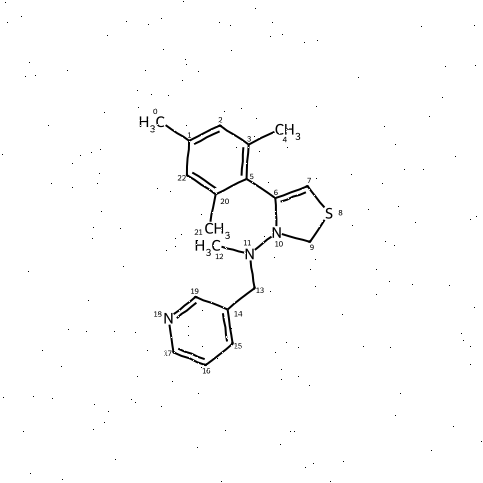 Cc1cc(C)c(C2=CSCN2N(C)Cc2cccnc2)c(C)c1